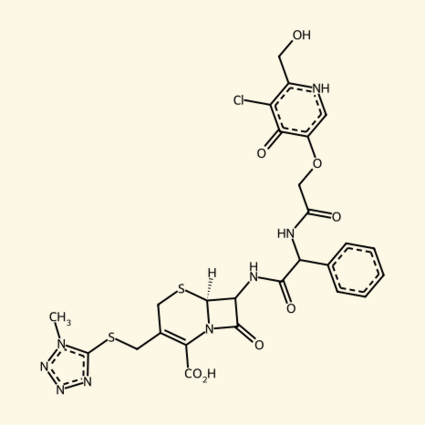 Cn1nnnc1SCC1=C(C(=O)O)N2C(=O)C(NC(=O)C(NC(=O)COc3c[nH]c(CO)c(Cl)c3=O)c3ccccc3)[C@@H]2SC1